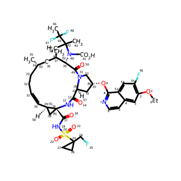 CCOc1cc2ccnc(O[C@@H]3C[C@H]4C(=O)N[C@]5(C(=O)NS(=O)(=O)C6(CF)CC6)C[C@H]5C=CCC[C@H](C)C[C@@H](C)[C@H](N(C(=O)O)C(C)(C)C(C)(F)F)C(=O)N4C3)c2cc1F